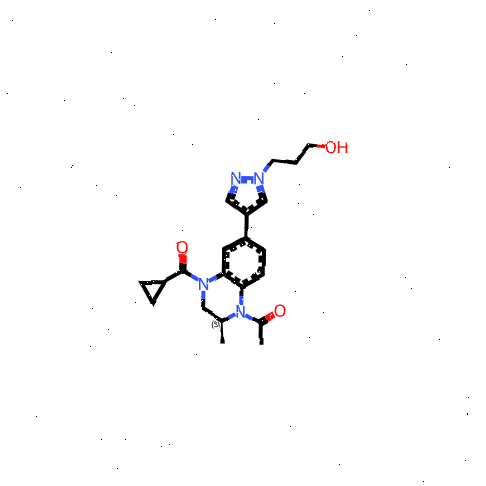 CC(=O)N1c2ccc(-c3cnn(CCCO)c3)cc2N(C(=O)C2CC2)C[C@@H]1C